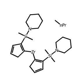 CCCC.C[Si](C)(C1=[C]([Zr][C]2=C([Si](C)(C)N3CCCCC3)C=CC2)CC=C1)N1CCCCC1